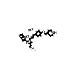 CCCc1cn(CCCc2ccc(OCC3CCNCC3)cc2)c(-c2cc3sccc3n2C)n1.Cl